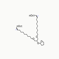 CCCCCCCC/C=C\CCCCCCCCOCC(COCCCCCCCC/C=C\CCCCCCCC)OC1CCCO1